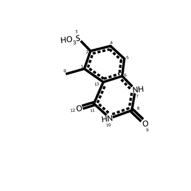 Cc1c(S(=O)(=O)O)ccc2[nH]c(=O)[nH]c(=O)c12